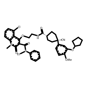 CCN(C(=O)c1c(OCCNC(=O)[C@H]2CC[C@](C#N)(c3ccc(OC)c(OC4CCCC4)c3)CC2)c2c(Cl)cccc2n(C)c1=O)c1ccccc1